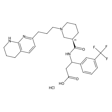 Cl.O=C(O)CC(NC(=O)[C@@H]1CCCN(CCCc2ccc3c(n2)NCCC3)C1)c1cccc(C(F)(F)F)c1